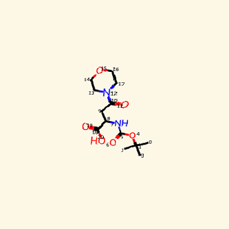 CC(C)(C)OC(=O)NC(CC(=O)N1CCOCC1)C(=O)O